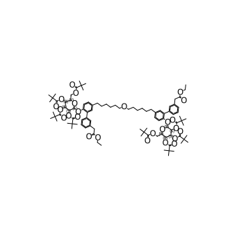 CCOC(=O)Cc1cccc(-c2cc(CCCCCCOCCCCCCc3ccc(O[C@@H]4O[C@H](COC(=O)C(C)(C)C)[C@@H](OC(=O)C(C)(C)C)[C@H](OC(=O)C(C)(C)C)[C@@H]4OC(=O)C(C)(C)C)c(-c4cccc(CC(=O)OCC)c4)c3)ccc2O[C@@H]2O[C@H](COC(=O)C(C)(C)C)[C@@H](OC(=O)C(C)(C)C)[C@H](OC(=O)C(C)(C)C)[C@@H]2OC(=O)C(C)(C)C)c1